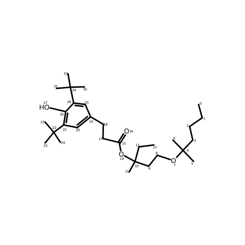 CCCCC(C)(C)OCCC(C)(CC)OC(=O)CCc1cc(C(C)(C)C)c(O)c(C(C)(C)C)c1